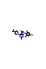 [CH2]C(C)C1CCN(c2nc(C)nc3c2c(C)cn3-c2c(C)cc(Br)cc2C)CC1